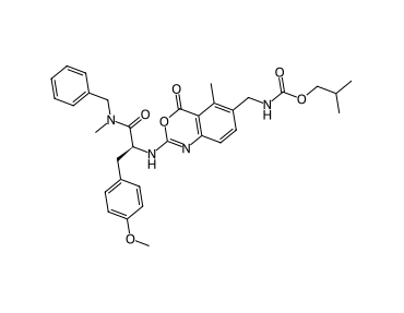 COc1ccc(C[C@H](Nc2nc3ccc(CNC(=O)OCC(C)C)c(C)c3c(=O)o2)C(=O)N(C)Cc2ccccc2)cc1